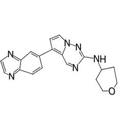 c1cnc2cc(-c3ccn4nc(NC5CCOCC5)ncc34)ccc2n1